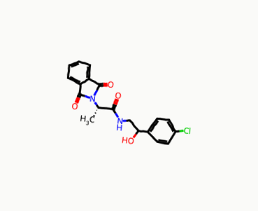 C[C@@H](C(=O)NCC(O)c1ccc(Cl)cc1)N1C(=O)c2ccccc2C1=O